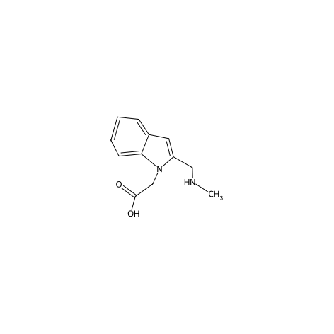 CNCc1cc2ccccc2n1CC(=O)O